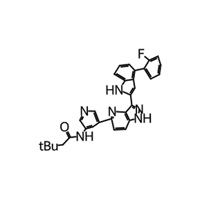 CC(C)(C)CC(=O)Nc1cncc(-c2ccc3[nH]nc(-c4cc5c(-c6ccccc6F)cccc5[nH]4)c3n2)c1